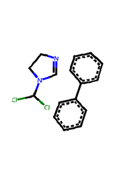 ClC(Cl)N1C=NCC1.c1ccc(-c2ccccc2)cc1